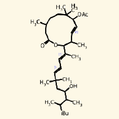 CCC(C)C(C)C(C)C(O)CC(C)(C)/C=C/C=C(\C)C1OC(=O)CC(C)CCC(C)(C)C(OC(C)=O)/C=C/C1C